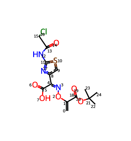 C=C(ON=C(C(=O)O)c1csc(NC(=O)CCl)n1)C(=O)OC(C)(C)C